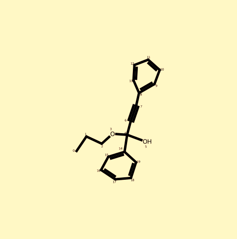 CCCOC(O)(C#Cc1ccccc1)c1ccccc1